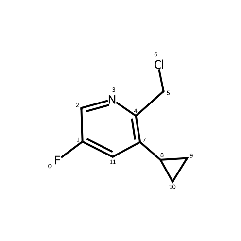 Fc1cnc(CCl)c(C2CC2)c1